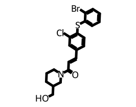 O=C(C=Cc1ccc(Sc2ccccc2Br)c(Cl)c1)N1CCCC(CO)C1